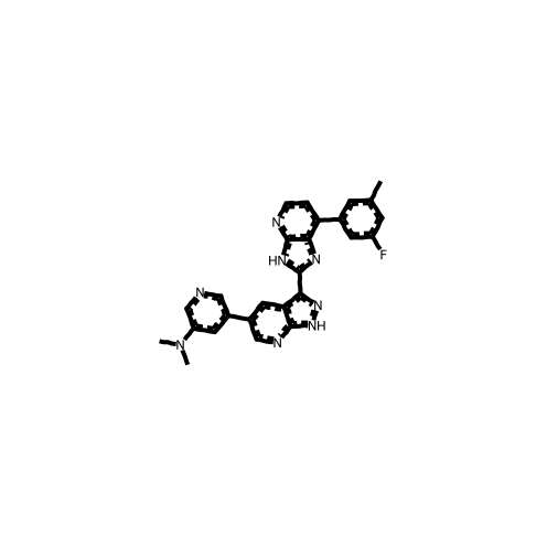 Cc1cc(F)cc(-c2ccnc3[nH]c(-c4n[nH]c5ncc(-c6cncc(N(C)C)c6)cc45)nc23)c1